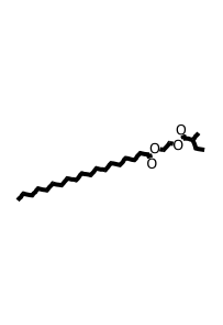 CCCCCCCCCCCCCCCCCCC(=O)OCCOC(=O)C(C)CC